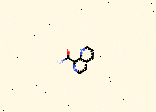 NC(=O)c1nccc2cccnc12